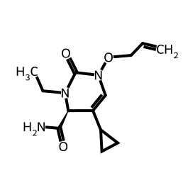 C=CCON1C=C(C2CC2)[C@@H](C(N)=O)N(CC)C1=O